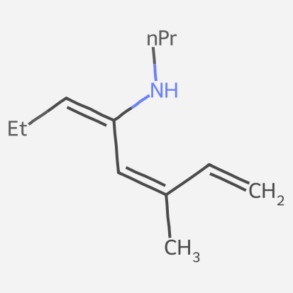 C=C/C(C)=C\C(=C/CC)NCCC